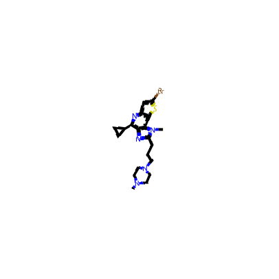 CN1CCN(CCCc2nc3c(C4CC4)nc4cc(Br)sc4c3n2C)CC1